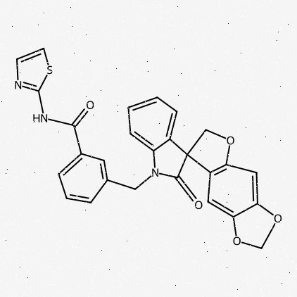 O=C(Nc1nccs1)c1cccc(CN2C(=O)C3(COc4cc5c(cc43)OCO5)c3ccccc32)c1